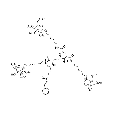 CC(=O)OC[C@@H]1[C@H](COC(C)=O)[C@H](OC(C)=O)CC[C@H]1OCCCCCCNC(=O)C(CCC(=O)NCCCCCCOC1O[C@H](COC(C)=O)[C@@H](OC(C)=O)[C@H](OC(C)=O)[C@@H]1OC(C)=O)NC(=O)CCC(NC(=O)CCCC(=O)OCc1ccccc1)C(=O)NCCCCCCO[C@H]1O[C@H](COC(C)=O)[C@@H](O)[C@H](OC(C)=O)[C@@H]1OC(C)=O